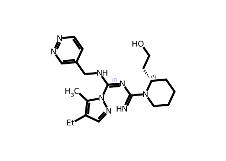 CCc1cnn(/C(=N\C(=N)N2CCCC[C@H]2CCO)NCc2ccnnc2)c1C